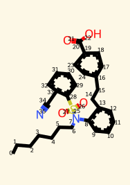 CCCCCCCN(c1ccccc1CCc1ccc(C(=O)O)cc1)S(=O)(=O)c1ccccc1C#N